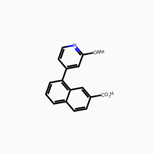 COc1cc(-c2cccc3ccc(C(=O)O)cc23)ccn1